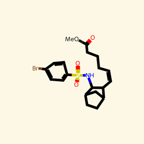 COC(=O)CCC/C=C\C1C2CCC(C2)C1NS(=O)(=O)c1ccc(Br)cc1